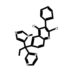 CCC(c1ccc2nc(Cl)c(-c3ccccc3)c(Cl)c2c1)(c1cnccn1)c1cncn1C